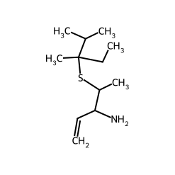 C=CC(N)C(C)SC(C)(CC)C(C)C